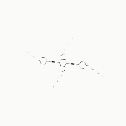 CCCCCCc1ccc(C#Cc2c3cc(CCCCCC)sc3c(C#Cc3ccc(CCCCCC)cc3)c3cc(CCCCCC)sc23)cc1